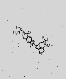 COc1cccc2cc(-c3nc4cc5c(nc4n3C)CCN(C[C@H](N)CF)C5=O)n(CC3CC3(F)F)c12